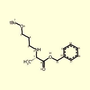 C[C@H](NCCCOC(C)(C)C)C(=O)OCc1ccccc1